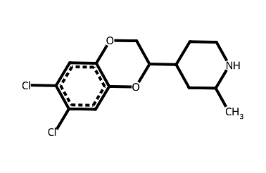 CC1CC(C2COc3cc(Cl)c(Cl)cc3O2)CCN1